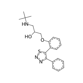 CC(C)(C)NCC(O)COc1ccccc1-c1snnc1-c1ccccc1